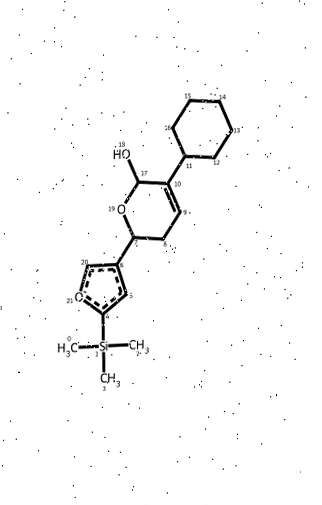 C[Si](C)(C)c1cc(C2CC=C(C3CCCCC3)C(O)O2)co1